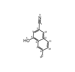 N#Cc1cc(O)c2cc(F)ccc2c1